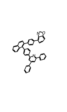 c1ccc(-c2cc(-c3ccccc3)nc(-c3ccc(-c4c(-c5ccc(-c6cccc7ocnc67)cc5)ccc5ccccc45)cc3)c2)cc1